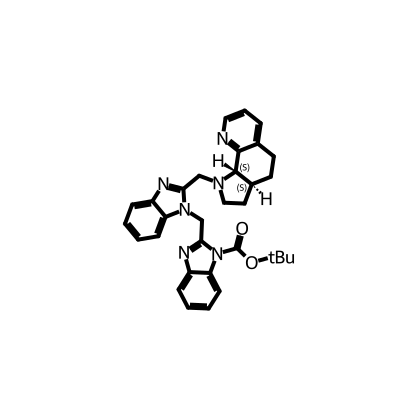 CC(C)(C)OC(=O)n1c(Cn2c(CN3CC[C@@H]4CCc5cccnc5[C@H]43)nc3ccccc32)nc2ccccc21